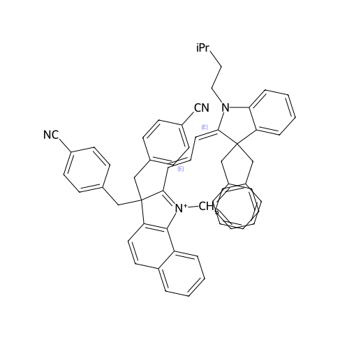 CC(C)CCN1/C(=C/C=C/C2=[N+](C)c3c(ccc4ccccc34)C2(Cc2ccc(C#N)cc2)Cc2ccc(C#N)cc2)C(Cc2ccccc2)(Cc2ccccc2)c2ccccc21